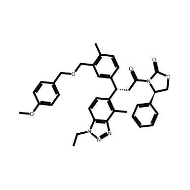 CCn1nnc2c(C)c([C@@H](CC(=O)N3C(=O)OC[C@H]3c3ccccc3)c3ccc(C)c(COCc4ccc(OC)cc4)c3)ccc21